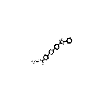 CCOC(=O)N1CCC(N2CCN(c3ccc(-c4noc(-c5ccccc5)n4)cc3)CC2)CC1